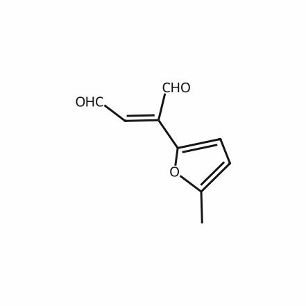 Cc1ccc(C(C=O)=CC=O)o1